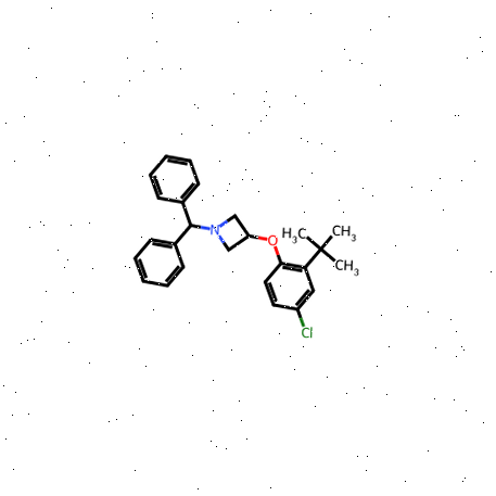 CC(C)(C)c1cc(Cl)ccc1OC1CN(C(c2ccccc2)c2ccccc2)C1